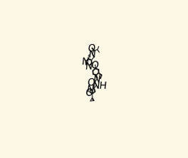 CC(C)C(=O)N1Cc2ncnc(Oc3ccc4c(ccn4C(=O)Nc4cc(C5=CC5)on4)c3)c2C1